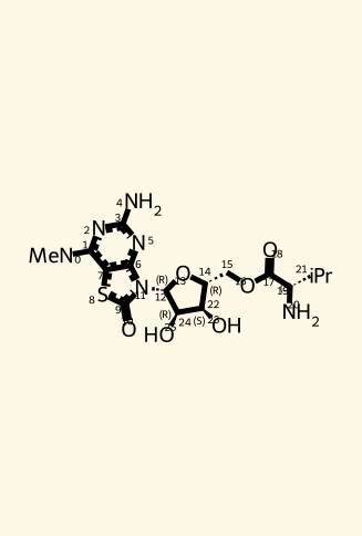 CNc1nc(N)nc2c1sc(=O)n2[C@@H]1O[C@H](COC(=O)[C@@H](N)C(C)C)[C@@H](O)[C@H]1O